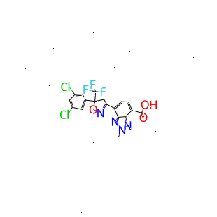 Cn1nc2c(C(=O)O)ccc(C3=NOC(c4cc(Cl)cc(Cl)c4)(C(F)(F)F)C3)c2n1